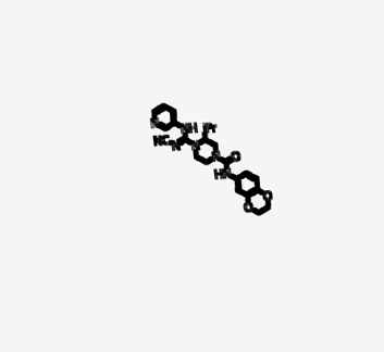 CC(C)C1CN(C(=O)Nc2ccc3c(c2)OCCO3)CCN1/C(=N/C#N)Nc1cccnc1